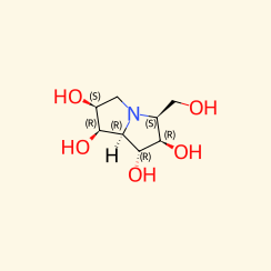 OC[C@H]1[C@@H](O)[C@H](O)[C@H]2[C@@H](O)[C@@H](O)CN21